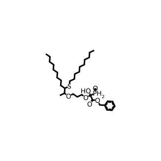 CCCCCCCCCCSC(CCCCCCCCC)C(C)OCCCOC(O)([PH2]=O)C(=O)OCc1ccccc1